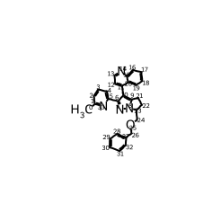 Cc1cccc(-c2nn3c(c2-c2ccnc4ccccc24)CCC3COCc2ccccc2)n1